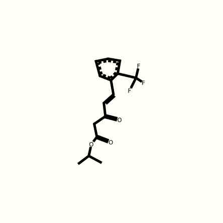 CC(C)OC(=O)CC(=O)C=Cc1ccccc1C(F)(F)F